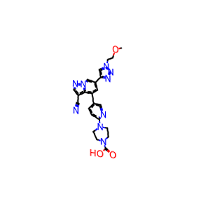 COCCn1cc(-c2cc(-c3ccc(N4CCN(C(=O)O)CC4)nc3)c3c(C#N)cnn3c2)nn1